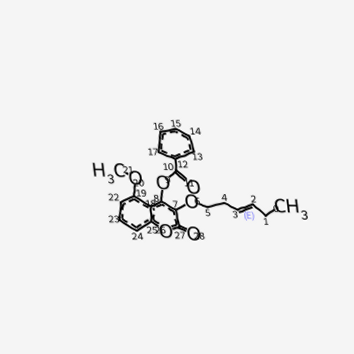 CC/C=C/CCOc1c(OC(=O)c2ccccc2)c2c(OC)cccc2oc1=O